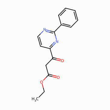 CCOC(=O)CC(=O)c1ccnc(-c2ccccc2)n1